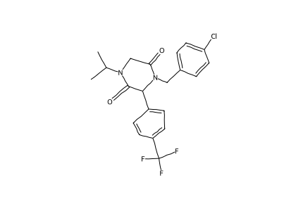 CC(C)N1CC(=O)N(Cc2ccc(Cl)cc2)C(c2ccc(C(F)(F)F)cc2)C1=O